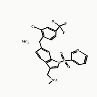 CNCc1cn(S(=O)(=O)c2cccnc2)c2cc(Cc3ccc(C(F)(F)F)cc3Cl)ccc12.Cl